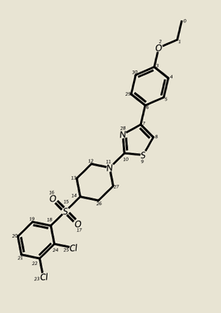 CCOc1ccc(-c2csc(N3CCC(S(=O)(=O)c4cccc(Cl)c4Cl)CC3)n2)cc1